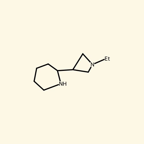 CCN1CC(C2CCCCN2)C1